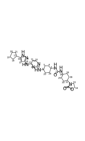 O=C(NC1CCC(Nc2nccc(Nc3cc(C4CCCC4)[nH]n3)n2)CC1)NC1CCC(N2CCOC2=O)CC1